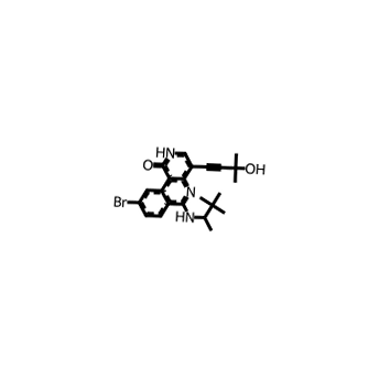 CC(Nc1nc2c(C#CC(C)(C)O)c[nH]c(=O)c2c2cc(Br)ccc12)C(C)(C)C